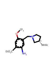 CCOC(=O)c1cc(OC(F)(F)F)c(CN2CC[C@H](NC(C)=O)C2)cc1N